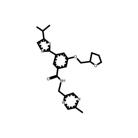 Cc1cnc(CNC(=O)c2cc(OCC3CCCO3)cc(-c3ncc(C(C)C)s3)c2)cn1